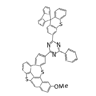 COc1ccc2cc3sc4cccc5c6ccc(-c7nc(-c8ccccc8)nc(-c8ccc9c(c8)Sc8ccccc8C98c9ccccc9-c9ccccc98)n7)cc6sc(c2c1)c3c45